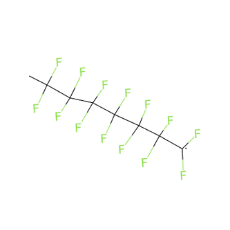 CC(F)(F)C(F)(F)C(F)(F)C(F)(F)C(F)(F)C(F)(F)[C](F)F